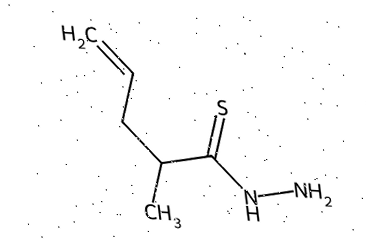 C=CCC(C)C(=S)NN